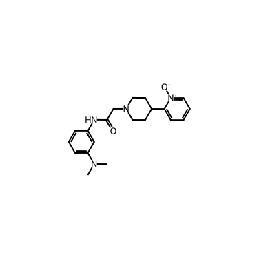 CN(C)c1cccc(NC(=O)CN2CCC(c3cccc[n+]3[O-])CC2)c1